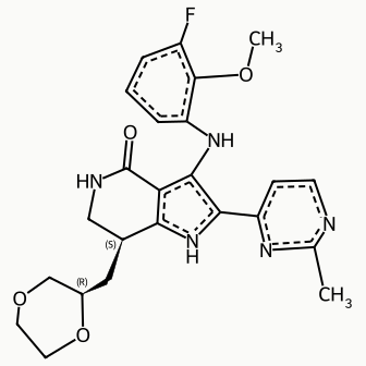 COc1c(F)cccc1Nc1c(-c2ccnc(C)n2)[nH]c2c1C(=O)NC[C@@H]2C[C@@H]1COCCO1